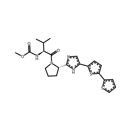 COC(=O)N[C@H](C(=O)N1CCC[C@H]1c1ncc(-c2ccc(-c3cccs3)s2)[nH]1)C(C)C